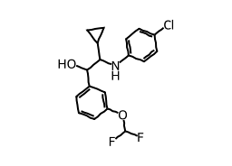 OC(c1cccc(OC(F)F)c1)C(Nc1ccc(Cl)cc1)C1CC1